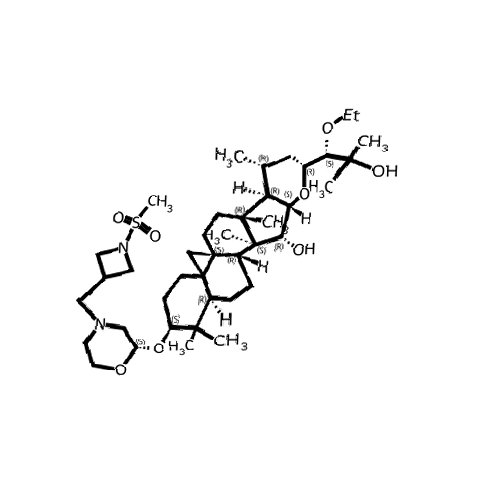 CCO[C@@H]([C@H]1C[C@@H](C)[C@H]2[C@H](O1)[C@H](O)[C@@]1(C)[C@@H]3CC[C@H]4C(C)(C)[C@@H](O[C@H]5CN(CC6CN(S(C)(=O)=O)C6)CCO5)CCC45C[C@@]35CC[C@]21C)C(C)(C)O